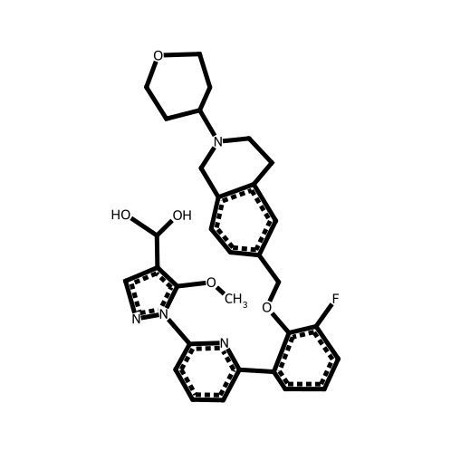 COc1c(C(O)O)cnn1-c1cccc(-c2cccc(F)c2OCc2ccc3c(c2)CCN(C2CCOCC2)C3)n1